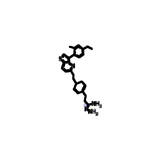 CCc1ccc(-c2csc3ccc(CCC4C=CC(CC/C(N)=N/N)=CC4)nc23)c(C)c1